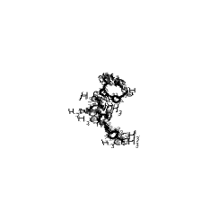 Cc1cc2cc(c1NC(=O)[C@H](CCN)NC(=O)c1c(C)nc(C#Cc3ccc(C(C)(C)C)cc3)nc1C)-c1cccc(c1)CC(=O)NCC(=O)NC(C(N)=O)C2